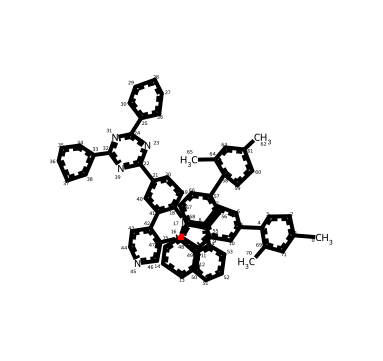 Cc1ccc(-c2ccc3c(c2)c2ccccc2n3-c2ccc(-c3nc(-c4ccccc4)nc(-c4ccccc4)n3)cc2-c2ccncc2-n2c3ccccc3c3cc(-c4ccc(C)cc4C)ccc32)c(C)c1